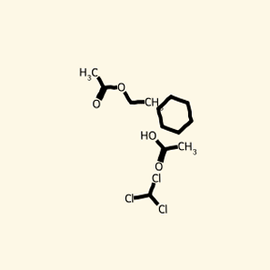 C1CCCCC1.CC(=O)O.CCOC(C)=O.ClC(Cl)Cl